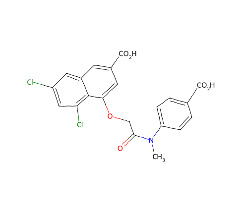 CN(C(=O)COc1cc(C(=O)O)cc2cc(Cl)cc(Cl)c12)c1ccc(C(=O)O)cc1